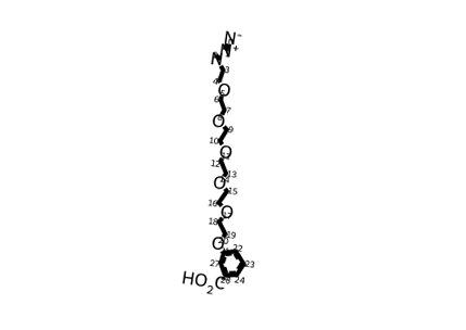 [N-]=[N+]=NCCOCCOCCOCCOCCOCCOc1cccc(C(=O)O)c1